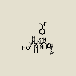 C[C@@H](CO)NC(=N)n1cc(-c2ccc(C(F)F)cc2)nc(-c2cnn(C3CC3)c2)c1=N